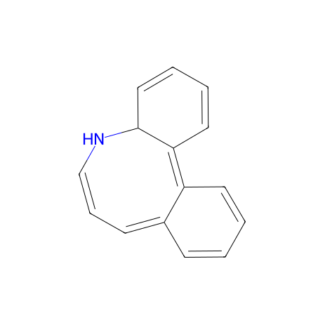 C1=C\C2=c3/cccc/c3=C/C=C\NC2C=C1